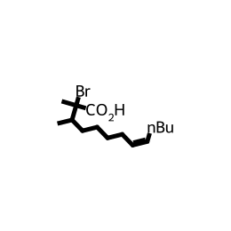 CCCC/C=C\CCCCC(C)C(C)(Br)C(=O)O